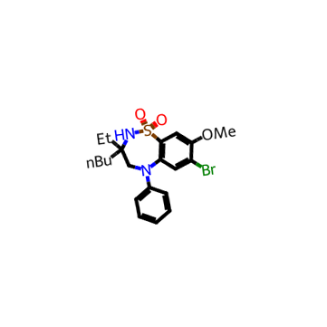 CCCCC1(CC)CN(c2ccccc2)c2cc(Br)c(OC)cc2S(=O)(=O)N1